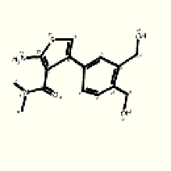 CN(C)C(=O)c1c(-c2ccc(CO)c(CO)c2)csc1N